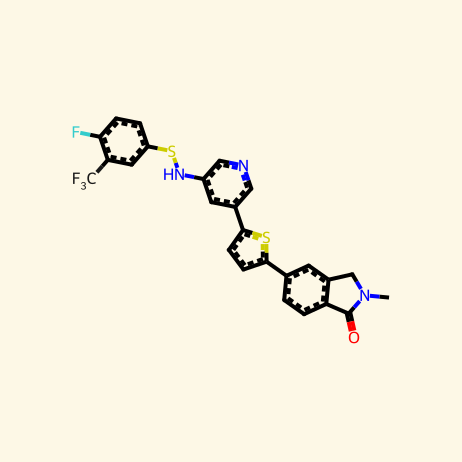 CN1Cc2cc(-c3ccc(-c4cncc(NSc5ccc(F)c(C(F)(F)F)c5)c4)s3)ccc2C1=O